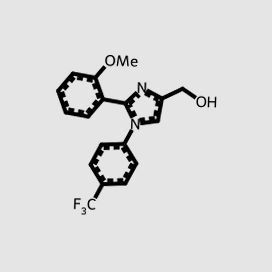 COc1ccccc1-c1nc(CO)cn1-c1ccc(C(F)(F)F)cc1